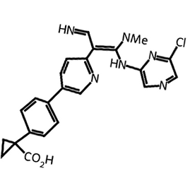 CN/C(Nc1cncc(Cl)n1)=C(\C=N)c1ccc(-c2ccc(C3(C(=O)O)CC3)cc2)cn1